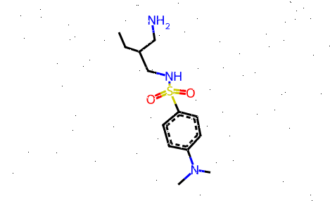 CCC(CN)CNS(=O)(=O)c1ccc(N(C)C)cc1